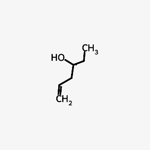 C=CC[C](O)CC